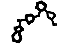 O[C@@H]1CC[C@H](c2cccnc2Oc2ccc(Nc3nc4ccccc4s3)cc2)C1